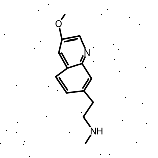 CNCCc1ccc2cc(OC)cnc2c1